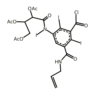 C=CCNC(=O)c1cc(N(I)C(=O)C(OC(C)=O)C(COC(C)=O)OC(C)=O)c(I)c(C(=O)Cl)c1I